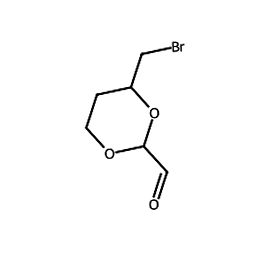 O=CC1OCCC(CBr)O1